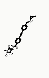 CNC(=O)[C@@](C)(C(=O)NO)N(C)C(=O)c1ccc(C#Cc2ccc(CNC3CC3C)cc2)cc1